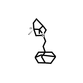 CC1(C)C2CC[C@]1(C)CN(CCC13CC4CC(CC(C4)C1)C3)C2